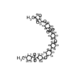 Cc1ccc(S(=O)(=O)c2ccc(Oc3ccc(-c4ccc(Oc5ccc(S(=O)(=O)c6ccc(OC7COC8C(C)COC78)cc6)cc5)cc4)cc3)cc2)cc1